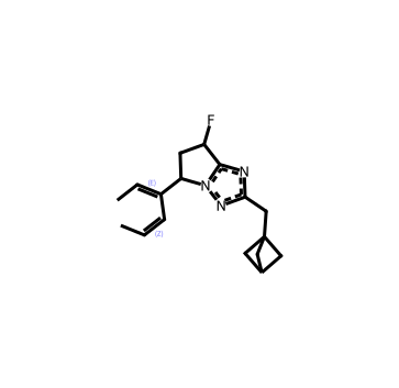 C/C=C\C(=C/C)C1CC(F)c2nc(CC34CC(C3)C4)nn21